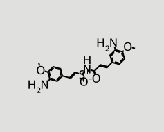 COc1ccc(/C=C/C(=O)N[S+]([O-])/C=C/c2ccc(OC)c(N)c2)cc1N